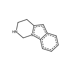 c1ccc2c(c1)cc1n2CNCC1